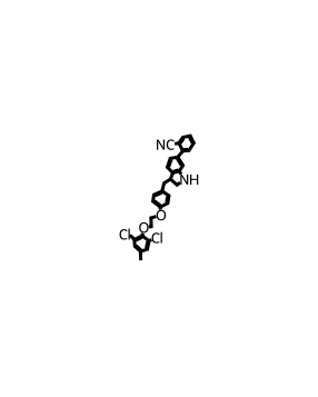 Cc1cc(Cl)c(OCCOc2ccc(CC3CNc4cc(-c5ccccc5C#N)ccc43)cc2)c(Cl)c1